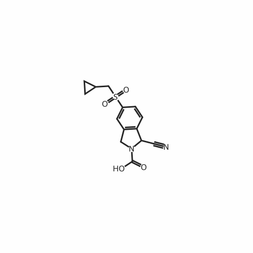 N#CC1c2ccc(S(=O)(=O)CC3CC3)cc2CN1C(=O)O